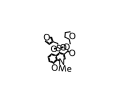 COc1cccc2c(S(=O)(=O)Cc3ccoc3)c(C(=O)OCC3CCCO3)cnc12